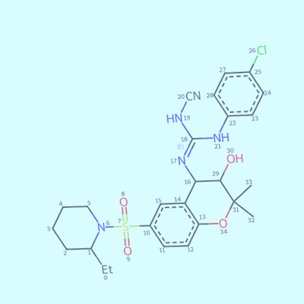 CCC1CCCCN1S(=O)(=O)c1ccc2c(c1)C(/N=C(/NC#N)Nc1ccc(Cl)cc1)C(O)C(C)(C)O2